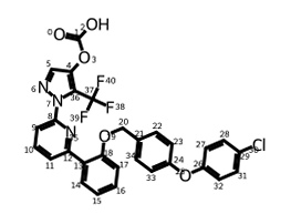 O=C(O)Oc1cnn(-c2cccc(-c3ccccc3OCc3ccc(Oc4ccc(Cl)cc4)cc3)n2)c1C(F)(F)F